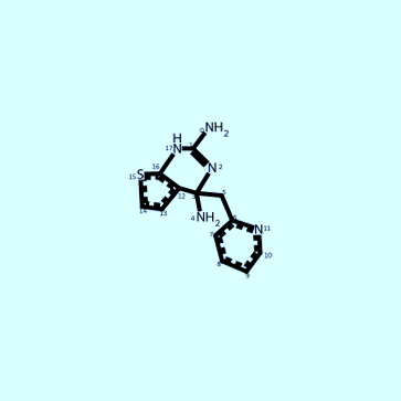 NC1=NC(N)(Cc2ccccn2)c2ccsc2N1